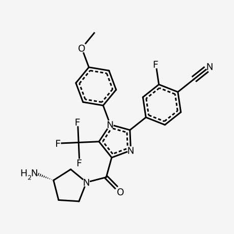 COc1ccc(-n2c(-c3ccc(C#N)c(F)c3)nc(C(=O)N3CC[C@H](N)C3)c2C(F)(F)F)cc1